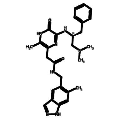 Cc1cc2[nH]ncc2cc1CNC(=O)Cc1nc(N[C@@H](Cc2ccccc2)CN(C)C)c(=O)[nH]c1C